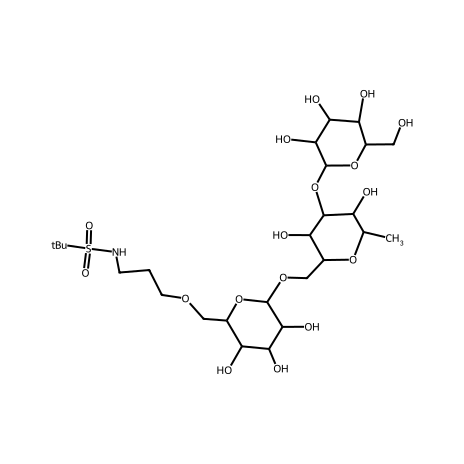 CC1OC(COC2OC(COCCCNS(=O)(=O)C(C)(C)C)C(O)C(O)C2O)C(O)C(OC2OC(CO)C(O)C(O)C2O)C1O